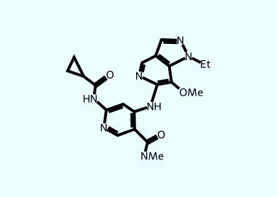 CCn1ncc2cnc(Nc3cc(NC(=O)C4CC4)ncc3C(=O)NC)c(OC)c21